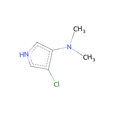 CN(C)c1c[nH]cc1Cl